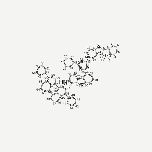 CC1(C)c2ccccc2C2Sc3ccc(-c4nc(-c5ccccc5)nc(-c5cccc6sc7cc(Nc8cc(-c9ccccc9)c9ccccc9c8-c8ccc(-c9ccccc9)c9ccccc89)ccc7c56)n4)cc3C21